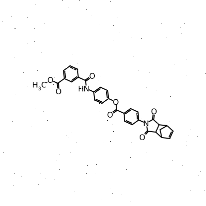 COC(=O)c1cccc(C(=O)Nc2ccc(OC(=O)c3ccc(N4C(=O)C5C6C=CC(C6)C5C4=O)cc3)cc2)c1